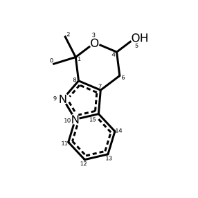 CC1(C)OC(O)Cc2c1nn1ccccc21